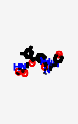 CNCC(CC1CCOCC1)NC(=O)N1CCCC(C(OCCNC(=O)OC)c2cc(C)cc(C)c2)C1